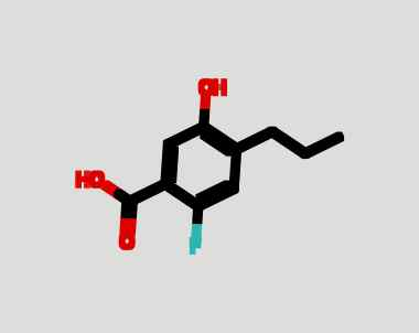 CCCc1cc(F)c(C(=O)O)cc1O